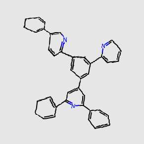 C1=CC(c2ccc(-c3cc(-c4cc(C5=CCCC=C5)nc(-c5ccccc5)c4)cc(-c4ccccn4)c3)nc2)=CCC1